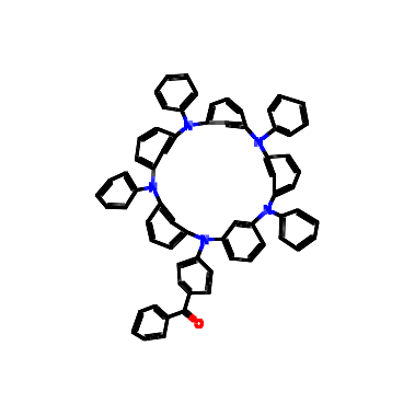 O=C(c1ccccc1)c1ccc(N2c3cccc(c3)N(c3ccccc3)c3cccc(c3)N(c3ccccc3)c3cccc(c3)N(c3ccccc3)c3cccc(c3)N(c3ccccc3)c3cccc2c3)cc1